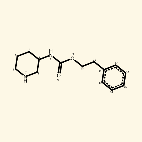 O=C(NC1CCCNC1)OCCc1ccccc1